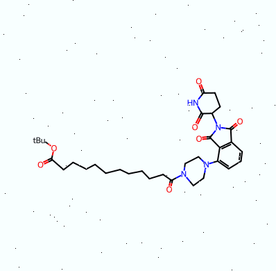 CC(C)(C)OC(=O)CCCCCCCCCCC(=O)N1CCN(c2cccc3c2C(=O)N(C2CCC(=O)NC2=O)C3=O)CC1